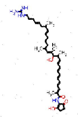 C\C(=C/C=C/C=C/C=C/C=C/C(C)C(O)/C(C)=C/C(C)CCC/C=C/C(C)C/C=C/CCCNC(=N)N)C(=O)NC1=C(O)CCC1=O